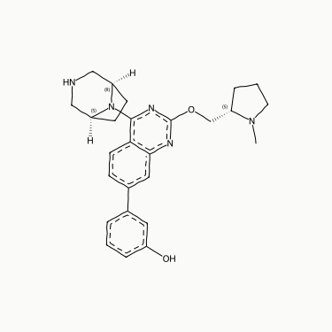 CN1CCC[C@H]1COc1nc(N2[C@@H]3CC[C@H]2CNC3)c2ccc(-c3cccc(O)c3)cc2n1